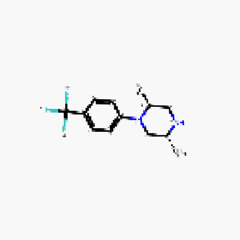 C[C@@H]1CN(c2ccc(C(F)(F)F)cc2)[C@@H](C)CN1